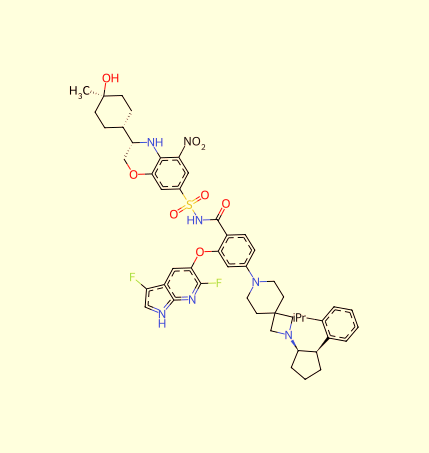 CC(C)c1ccccc1[C@H]1CCC[C@H]1N1CC2(CCN(c3ccc(C(=O)NS(=O)(=O)c4cc5c(c([N+](=O)[O-])c4)N[C@@H]([C@H]4CC[C@](C)(O)CC4)CO5)c(Oc4cc5c(F)c[nH]c5nc4F)c3)CC2)C1